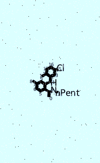 C=C(NCCCCC)c1ccc(C)cc1Cc1cc(Cl)ccc1C